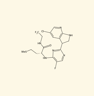 CSCC[C@@H](Nc1nc(C2CNc3ncc(Cl)cc32)ncc1F)C(=O)NCC(F)(F)F